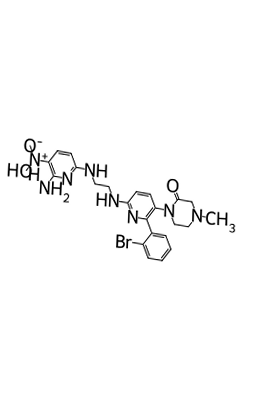 CN1CCN(c2ccc(NCCNc3ccc([NH+]([O-])O)c(N)n3)nc2-c2ccccc2Br)C(=O)C1